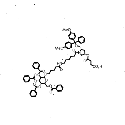 COc1ccc(C(OC[C@@H]2C[C@@H](OC(=O)CCC(=O)O)CN2C(=O)CCCCCNC(=O)CCCCO[C@H]2OC(COC(=O)c3ccccc3)[C@@H](OC(=O)c3ccccc3)[C@H](OC(=O)c3ccccc3)C2OC(=O)c2ccccc2)(c2ccccc2)c2ccc(OC)cc2)cc1